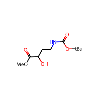 COC(=O)C(O)CCNC(=O)OC(C)(C)C